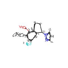 O=Cc1c(F)cc2c(c1O)CCC2n1cccn1